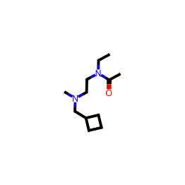 CCN(CCN(C)CC1CCC1)C(C)=O